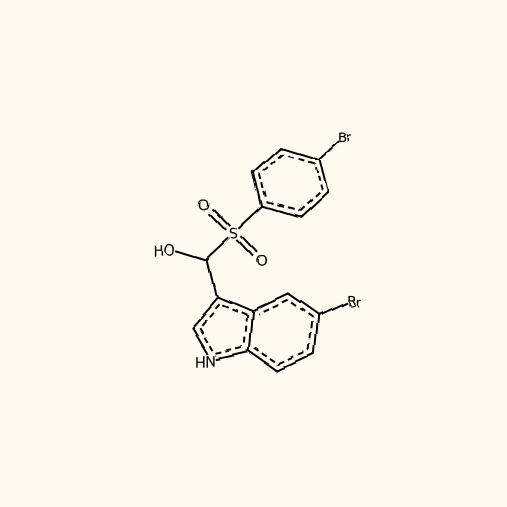 O=S(=O)(c1ccc(Br)cc1)C(O)c1c[nH]c2ccc(Br)cc12